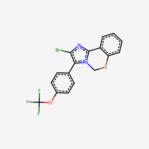 FC(F)(F)Oc1ccc(-c2c(Br)nc3n2CSc2ccccc2-3)cc1